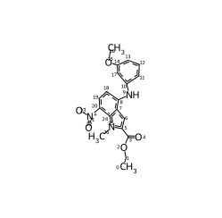 CCOC(=O)c1cc2c(Nc3cccc(OC)c3)ccc([N+](=O)[O-])c2n1C